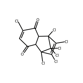 O=C1C=C(Cl)C(=O)C2C1C1(Cl)C(Cl)=C(Cl)C2(Cl)C1(Cl)Cl